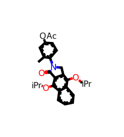 CC(=O)Oc1ccc(N2Cc3c(c(OC(C)C)c4ccccc4c3OC(C)C)C2=O)c(C)c1